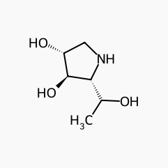 CC(O)[C@H]1NC[C@@H](O)[C@@H]1O